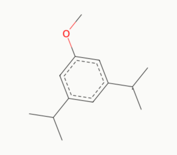 COc1cc([C](C)C)cc(C(C)C)c1